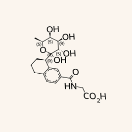 C[C@@H]1O[C@](O)([C@@H]2CCCc3ccc(C(=O)NCC(=O)O)cc32)[C@@H](O)[C@H](O)[C@@H]1O